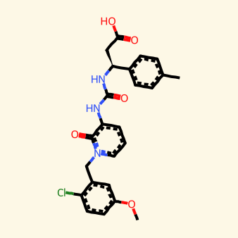 COc1ccc(Cl)c(Cn2cccc(NC(=O)N[C@@H](CC(=O)O)c3ccc(C)cc3)c2=O)c1